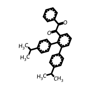 CC(C)c1ccc(-c2cccc(C(=O)C(=O)c3ccccc3)c2-c2ccc(C(C)C)cc2)cc1